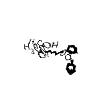 CC(O)N(CCCCCCOc1ccccc1OCc1ccccc1)C(C)O